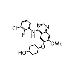 COc1cc2ncnc(Nc3cccc(Cl)c3F)c2cc1OC1CCC(O)CC1